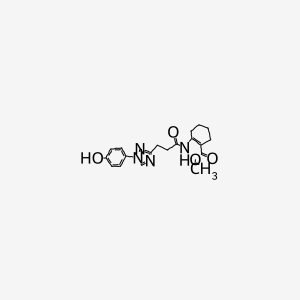 COC(=O)C1=C(NC(=O)CCc2ncn(-c3ccc(O)cc3)n2)CCCC1